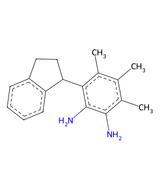 Cc1c(C)c(N)c(N)c(C2CCc3ccccc32)c1C